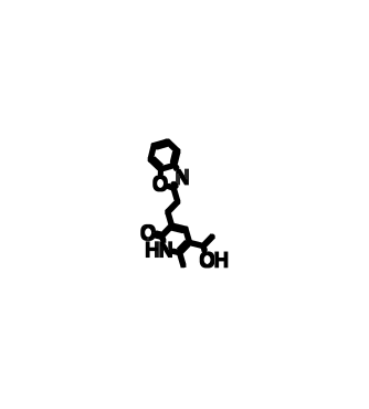 Cc1[nH]c(=O)c(CCc2nc3ccccc3o2)cc1C(C)O